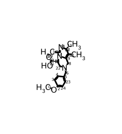 COc1ccc(CN2CC3=C(C)[C@H](C)N=C(C)N3[C@H](C(=O)O)C2)cc1